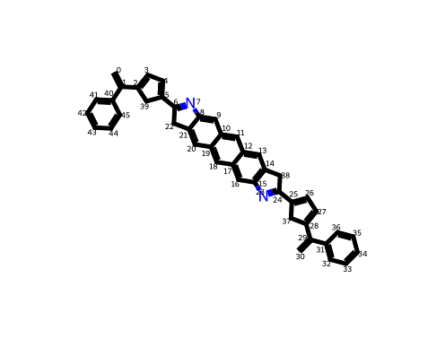 C=C(C1=CC=C(C2=Nc3cc4cc5cc6c(cc5cc4cc3C2)N=C(C2=CC=C(C(=C)c3ccccc3)C2)C6)C1)c1ccccc1